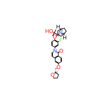 CC(C)(O)CN1[C@@H]2CC[C@H]1C[C@@H](Oc1ccc(-n3ccc4cc(OC[C@@H]5CCCO5)ccc4c3=O)cc1F)C2